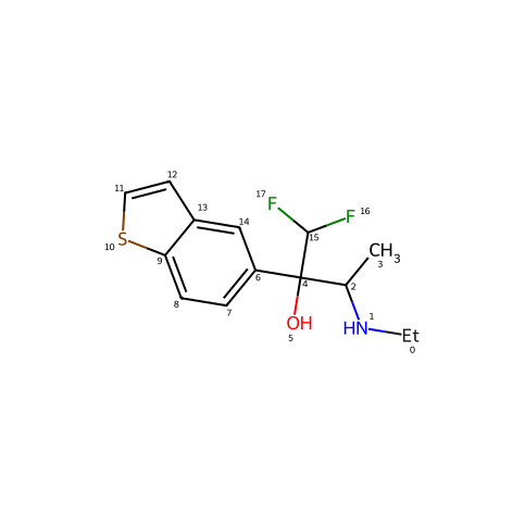 CCNC(C)C(O)(c1ccc2sccc2c1)C(F)F